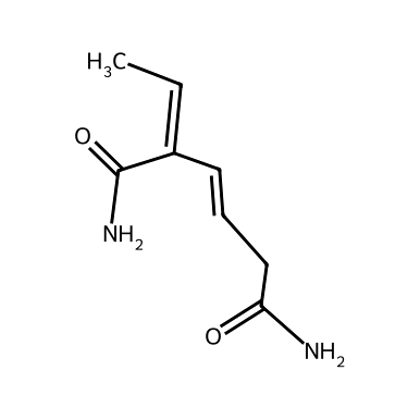 CC=C(C=CCC(N)=O)C(N)=O